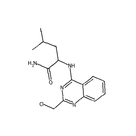 CC(C)CC(Nc1nc(CCl)nc2ccccc12)C(N)=O